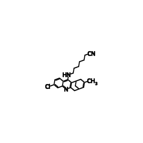 CC1=CC2Cc3nc4cc(Cl)ccc4c(NCCCCCCC#N)c3C(C1)C2